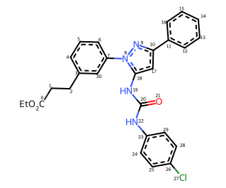 CCOC(=O)CCc1cccc(-n2nc(-c3ccccc3)cc2NC(=O)Nc2ccc(Cl)cc2)c1